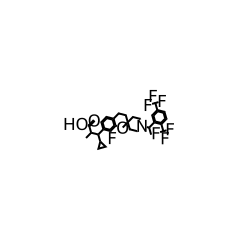 CC(C(=O)O)C(c1ccc2c(c1F)OC1(CC2)CCN(C(C)c2cc(C(F)(F)F)ccc2C(F)(F)F)CC1)C1CC1